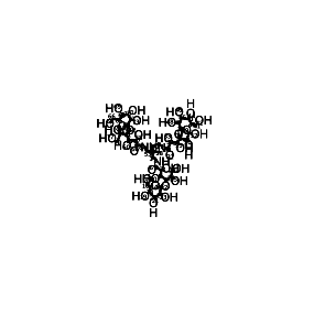 CCC(CNC(=O)C(O)C(O)C(OC1OC(CO)C(O)C(O)C1O)C(O)CO)(CNC(=O)C(O)C(O)C(OC1OC(CO)C(O)C(O)C1O)C(O)CO)CNC(=O)C(O)C(O)C(OC1OC(CO)C(O)C(O)C1O)C(O)CO